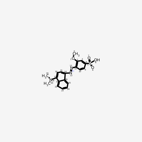 COc1cc(S(=O)(=O)O)ccc1/N=N/c1ccc(N(C)C)c2ccccc12